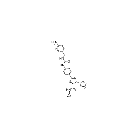 Nc1ccc(CNC(=O)Nc2ccc(C3=NC(c4ccsc4)C(C(=O)NC4CC4)S3)cc2)cn1